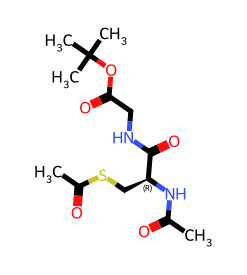 CC(=O)N[C@@H](CSC(C)=O)C(=O)NCC(=O)OC(C)(C)C